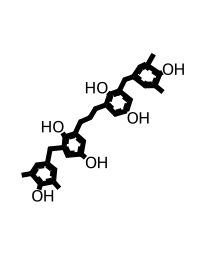 Cc1cc(Cc2cc(O)cc(CCCc3cc(O)cc(Cc4cc(C)c(O)c(C)c4)c3O)c2O)cc(C)c1O